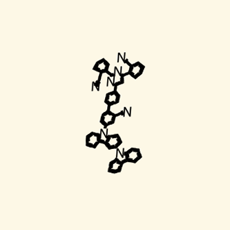 N#Cc1cc(-n2c3ccccc3c3cc(-n4c5ccccc5c5ccccc54)ccc32)ccc1-c1ccc(-c2cc(-c3ccccc3C#N)nc(-c3ccccc3C#N)n2)cc1